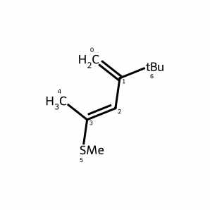 C=C(/C=C(\C)SC)C(C)(C)C